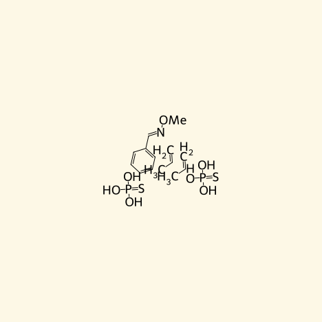 C=CC.C=CC.CON=Cc1ccccc1.OP(O)(O)=S.OP(O)(O)=S